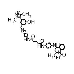 CCC(=O)N1c2ccccc2[C@H](Nc2ccc(NC(=O)CCCC(=O)NC3CC4(C3)CN(Cc3cc(O)cc(-c5c(C)noc5C)c3)C4)cc2)C[C@@H]1C